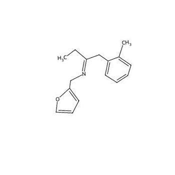 CCC(Cc1ccccc1C)=NCc1ccco1